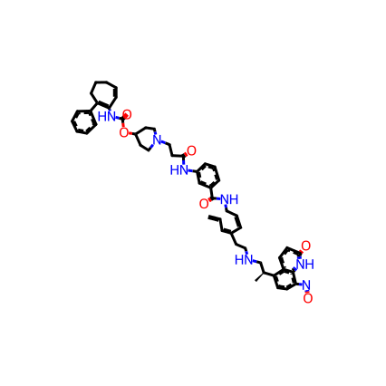 C=C/C=C(\C=C/CNC(=O)c1cccc(NC(=O)CCN2CCC(OC(=O)NC3=C(c4ccccc4)CCCC=C3)CC2)c1)CCNC[C@H](C)c1ccc(N=O)c2[nH]c(=O)ccc12